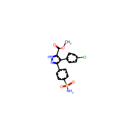 COC(=O)c1[nH]nc(-c2ccc(S(N)(=O)=O)cc2)c1-c1ccc(Cl)cc1